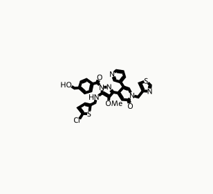 COc1c(-c2cc(=O)n(Cc3cscn3)cc2-c2cccnc2)nn(C(=O)c2ccc(CO)cc2)c1NCc1ccc(Cl)s1